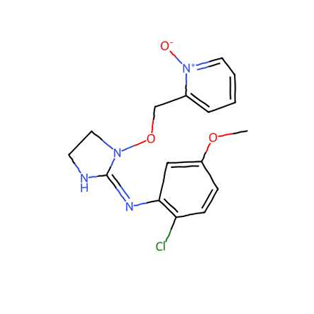 COc1ccc(Cl)c(/N=C2/NCCN2OCc2cccc[n+]2[O-])c1